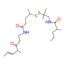 CC=CC(C)C(=O)CCNC(=O)CCC(C)SSC(C)(C)CNC(=O)C(C)CCC